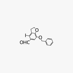 O=Cc1cc(OCc2ccccc2)c2c(c1I)CCO2